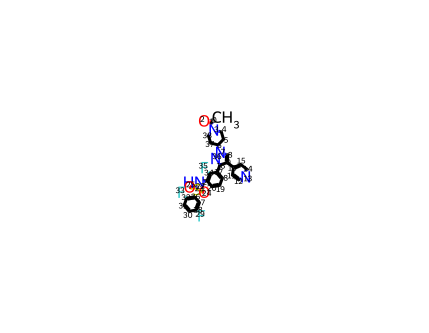 CC(=O)N1CCC(n2cc(-c3ccncc3)c(-c3cccc(NS(=O)(=O)c4cc(F)ccc4F)c3F)n2)CC1